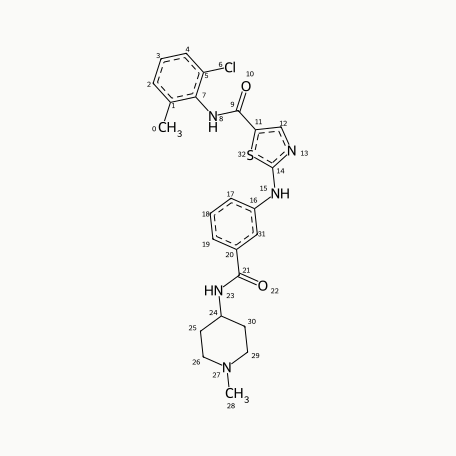 Cc1cccc(Cl)c1NC(=O)c1cnc(Nc2cccc(C(=O)NC3CCN(C)CC3)c2)s1